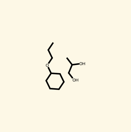 CC(O)CO.CCCOC1CCCCC1